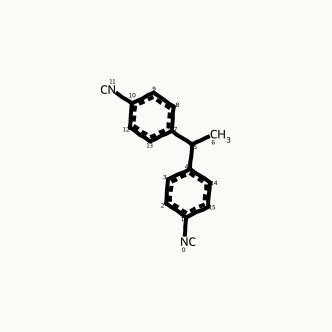 [C-]#[N+]c1ccc([C](C)c2ccc([N+]#[C-])cc2)cc1